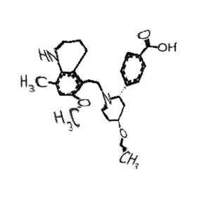 CCO[C@H]1CCN(Cc2c(OC)cc(C)c3c2CCCN3)[C@H](c2ccc(C(=O)O)cc2)C1